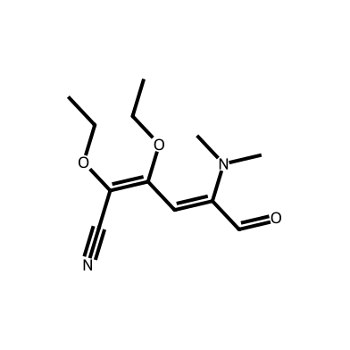 CCOC(C#N)=C(C=C(C=O)N(C)C)OCC